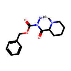 CCCCN1CCCCC1C(=O)N(N)C(=O)OCc1ccccc1